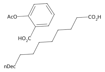 CC(=O)Oc1ccccc1C(=O)O.CCCCCCCCCCCCCCCCCC(=O)O